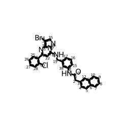 O=C(Cc1ccc2ccccc2c1)Nc1cccc(CNc2cc(-c3ccccc3Cl)nc3c(Br)cnn23)c1